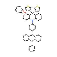 c1ccc(-c2c3ccccc3c(-c3ccc(N4c5ccccc5C5(c6ccsc6-c6sccc65)c5c4ccc4c5oc5ccccc54)cc3)c3ccccc23)cc1